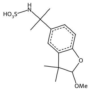 COC1Oc2ccc(C(C)(C)NS(=O)(=O)O)cc2C1(C)C